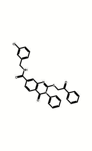 O=C(CSc1nc2cc(C(=O)NCc3cccc(Cl)c3)ccc2c(=O)n1-c1ccccc1)c1ccccc1